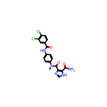 CN(C(=O)c1nc[nH]c1C(N)=O)c1ccc(NC(=O)c2ccc(Cl)c(Cl)c2)cc1